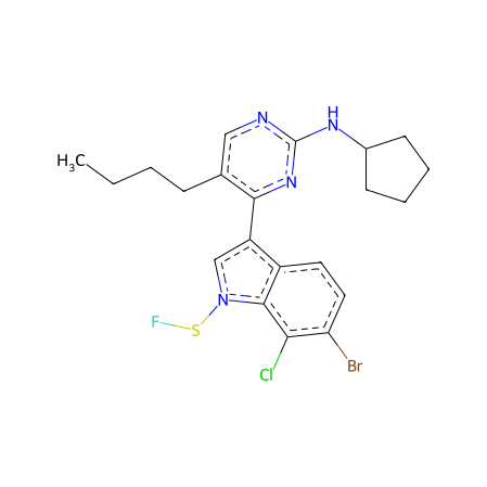 CCCCc1cnc(NC2CCCC2)nc1-c1cn(SF)c2c(Cl)c(Br)ccc12